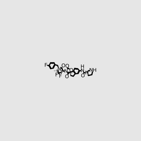 C[C@H](N(Cc1ccc(F)cc1)C(=O)CN1C(=O)O[C@@]2(CCc3cc(NC(=O)N4CCCNC4)ccc32)C1=O)C(F)(F)F